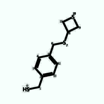 SCc1ccc(CSC2CSC2)cc1